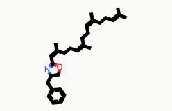 CC(C)=CCCC(C)=CCCC(C)=CCCC(C)=CC1=NC(Cc2ccccc2)CO1